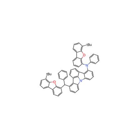 CC(C)(C)c1cccc2c1oc1c(C(c3ccccc3)c3cccc4c3c3cccc5c6c(N(c7ccccc7)c7cccc8c7oc7c(C(C)(C)C)cccc78)cccc6n4c35)cccc12